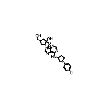 OC[C@@H]1C[C@@H](n2cnc3c(N[C@H]4CCN(c5ccc(Cl)cc5)C4)ncnc32)C(O)(O)C1